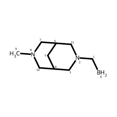 BCN1CC2CC(CN(C)C2)C1